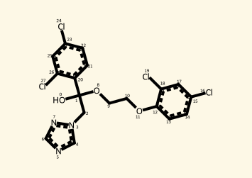 OC(Cn1cncn1)(OCCOc1ccc(Cl)cc1Cl)c1ccc(Cl)cc1Cl